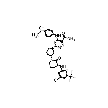 CC(C)c1ccc(Nc2nc(N3CCC[C@@H](N4CCC[C@@H](Nc5cc(Cl)cc(C(F)(F)F)c5)C4=O)C3)nnc2C(N)=O)cc1